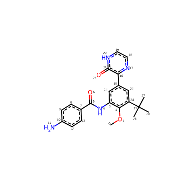 COc1c(NC(=O)c2ccc(N)cc2)cc(-c2ncc[nH]c2=O)cc1C(C)(C)C